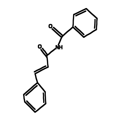 O=C(C=Cc1ccccc1)NC(=O)c1ccccc1